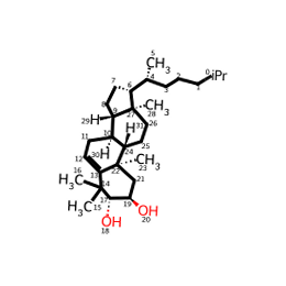 CC(C)CCC[C@@H](C)[C@H]1CC[C@H]2[C@@H]3CC=C4C(C)(C)[C@@H](O)[C@H](O)C[C@]4(C)[C@H]3CC[C@]12C